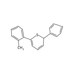 Cc1ccccc1C1=CC=CC(c2ccccc2)S1